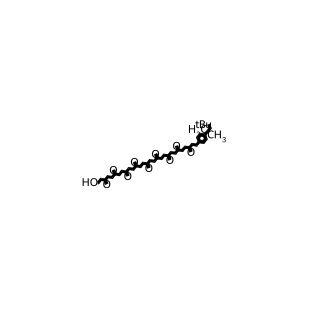 CC(C)(C)CC(C)(C)c1ccc(CCC(=O)CCC(=O)CCC(=O)CCC(=O)CCC(=O)CCC(=O)CCC(=O)CCC(=O)CCC(=O)CCO)cc1